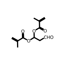 C=C(C)C(=O)OC(CC=O)OC(=O)C(=C)C